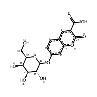 O=C(O)c1cc2ccc(OC3O[C@H](CO)[C@H](O)[C@H](O)[C@H]3O)cc2oc1=O